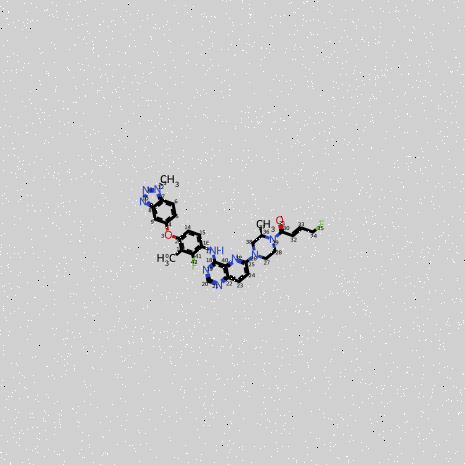 Cc1c(Oc2ccc3c(c2)nnn3C)ccc(Nc2ncnc3ccc(N4CCN(C(=O)/C=C/CF)[C@H](C)C4)nc23)c1F